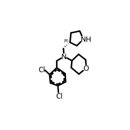 Clc1ccc(CN(C[C@@H]2CCNC2)C2CCOCC2)c(Cl)c1